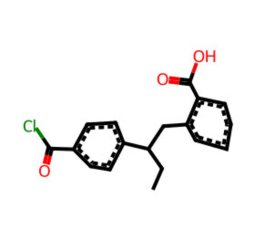 CCC(Cc1ccccc1C(=O)O)c1ccc(C(=O)Cl)cc1